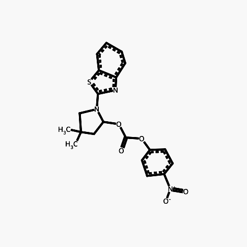 CC1(C)CC(OC(=O)Oc2ccc([N+](=O)[O-])cc2)N(c2nc3ccccc3s2)C1